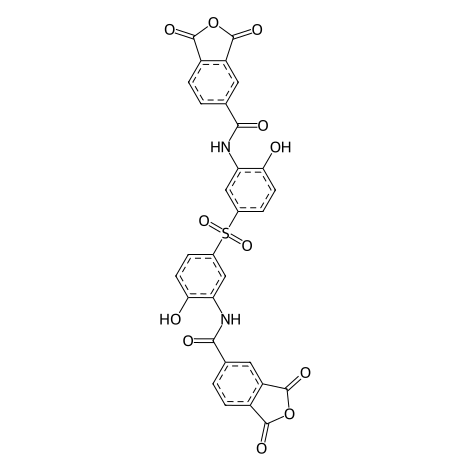 O=C(Nc1cc(S(=O)(=O)c2ccc(O)c(NC(=O)c3ccc4c(c3)C(=O)OC4=O)c2)ccc1O)c1ccc2c(c1)C(=O)OC2=O